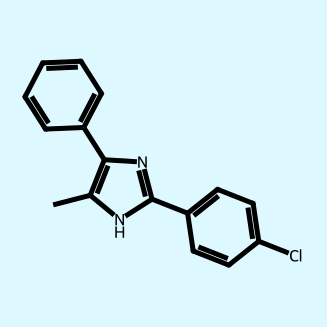 Cc1[nH]c(-c2ccc(Cl)cc2)nc1-c1ccccc1